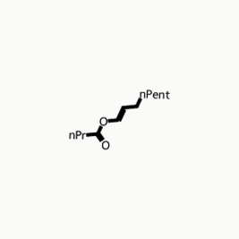 CCCCCCC=COC(=O)CCC